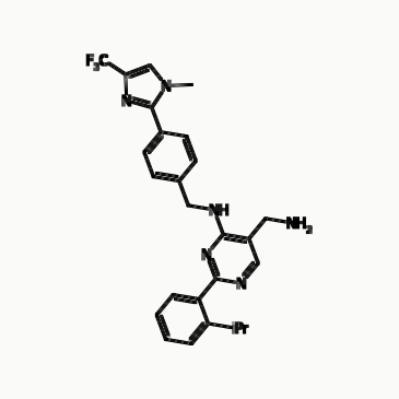 CC(C)c1ccccc1-c1ncc(CN)c(NCc2ccc(-c3nc(C(F)(F)F)cn3C)cc2)n1